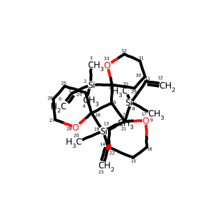 C=C[Si](C)(C)C1([C](C2([Si](C)(C)C=C)CCCCO2)C2([Si](C)(C)C=C)CCCCO2)CCCCO1